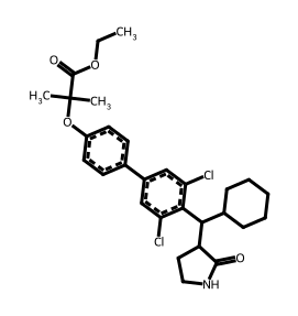 CCOC(=O)C(C)(C)Oc1ccc(-c2cc(Cl)c(C(C3CCCCC3)C3CCNC3=O)c(Cl)c2)cc1